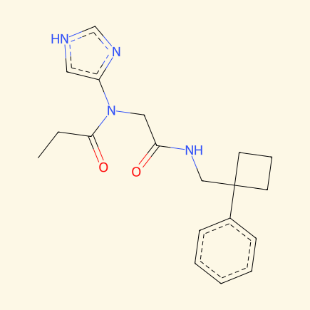 CCC(=O)N(CC(=O)NCC1(c2ccccc2)CCC1)c1c[nH]cn1